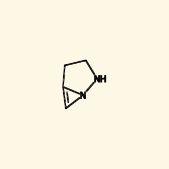 C1=C2CCNN12